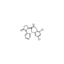 O=C1CCC(=O)N1c1ccccc1[C@@H]1CNCc2c(Cl)cc(Cl)cc21